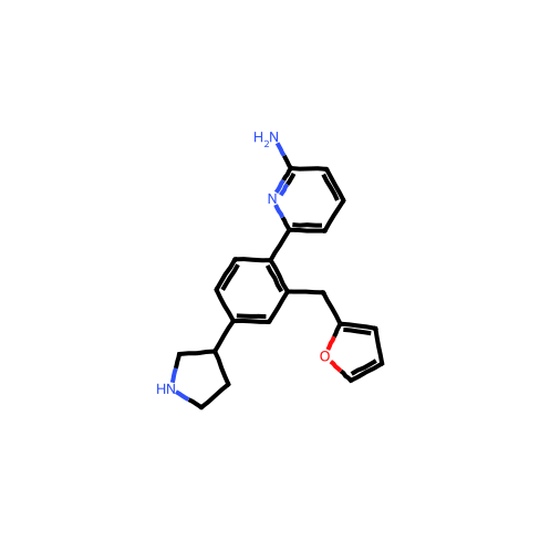 Nc1cccc(-c2ccc(C3CCNC3)cc2Cc2ccco2)n1